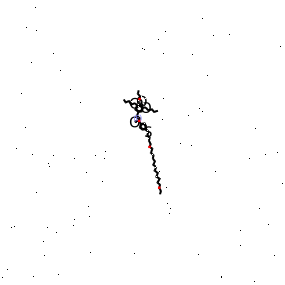 CCCCCCCCCCCCCCCCCCCCCSc1ccc(C(=O)/C=C/c2cc(OCCCC)c(OCCCC)c(OCCCC)c2)cc1